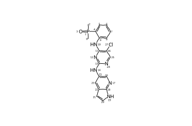 CP(C)(=O)c1ccccc1Nc1nc(Nc2cnc3[nH]ccc3c2)ncc1Cl